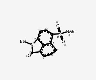 CCN1C(=O)c2cccc3c(S(=O)(=O)NC)ccc1c23